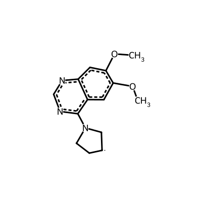 COc1cc2ncnc(N3C[CH]CC3)c2cc1OC